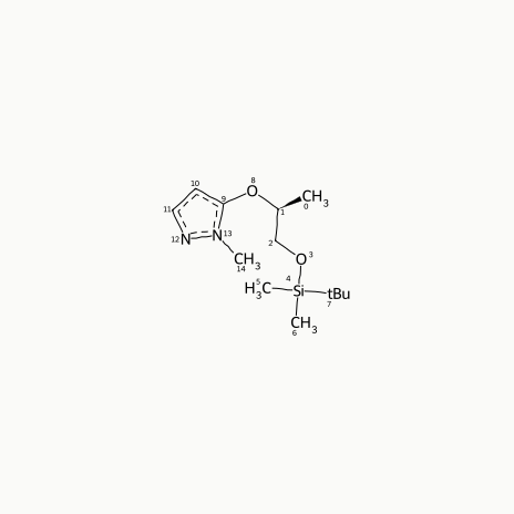 C[C@@H](CO[Si](C)(C)C(C)(C)C)Oc1ccnn1C